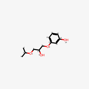 CC(C)OCC(O)COc1cccc(O)c1